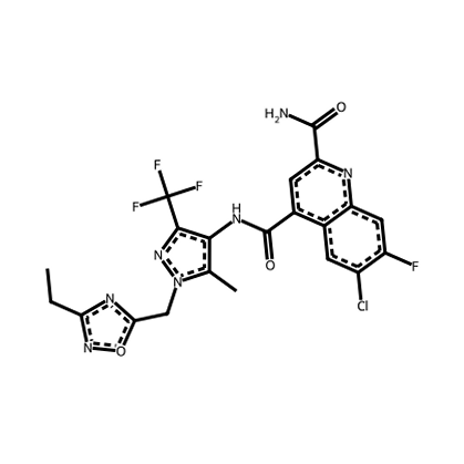 CCc1noc(Cn2nc(C(F)(F)F)c(NC(=O)c3cc(C(N)=O)nc4cc(F)c(Cl)cc34)c2C)n1